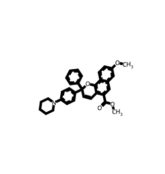 COC(=O)c1cc2cc(OC)ccc2c2c1C=CC(c1ccccc1)(c1ccc(N3CCCCC3)cc1)O2